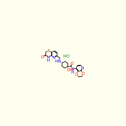 Cl.O=C1CSc2ccc(CN[C@H]3CC[C@](O)(C(=O)Nc4ccnc5c4OCCO5)CC3)nc2N1